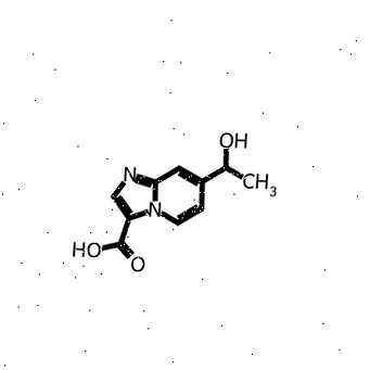 CC(O)c1ccn2c(C(=O)O)cnc2c1